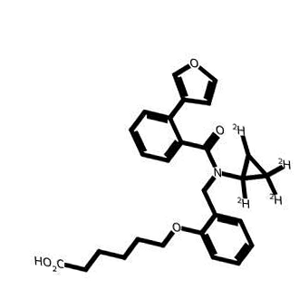 [2H]C1C([2H])([2H])C1([2H])N(Cc1ccccc1OCCCCCC(=O)O)C(=O)c1ccccc1-c1ccoc1